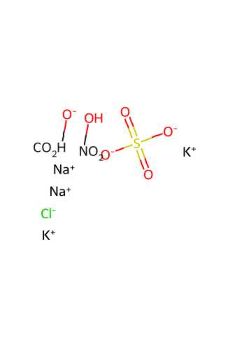 O=C([O-])O.O=S(=O)([O-])[O-].O=[N+]([O-])O.[Cl-].[K+].[K+].[Na+].[Na+]